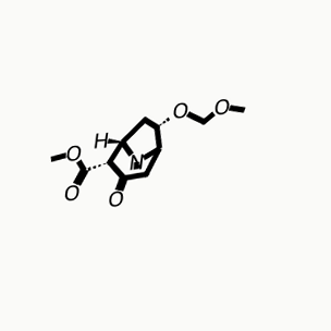 COCO[C@H]1C[C@H]2[C@@H](C(=O)OC)C(=O)CC1N2C